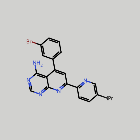 CC(C)c1ccc(-c2cc(-c3cccc(Br)c3)c3c(N)ncnc3n2)nc1